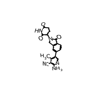 Cc1c(-c2ccc3c(c2)CN(C2CCC(=O)NC2=O)C3=O)cnc(N)c1C#N